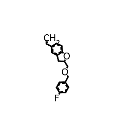 C=Cc1ccc2c(c1)CC(COCc1ccc(F)cc1)O2